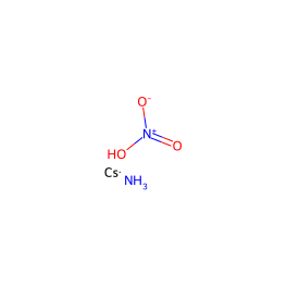 N.O=[N+]([O-])O.[Cs]